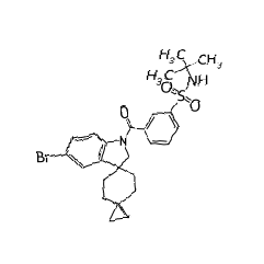 CC(C)(C)NS(=O)(=O)c1cccc(C(=O)N2CC3(CCC4(CC4)CC3)c3cc(Br)ccc32)c1